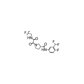 O=C(NCC(F)(F)F)C(=O)N1CC[C@H](C(=O)Nc2ccc(F)c(C(F)F)c2)C1